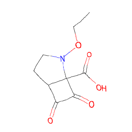 CCON1CCC2C(=O)C(=O)C21C(=O)O